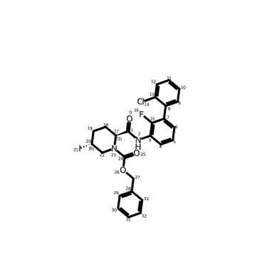 O=C(Nc1cccc(-c2ccccc2Cl)c1F)[C@@H]1CC[C@@H](I)CN1C(=O)OCc1ccccc1